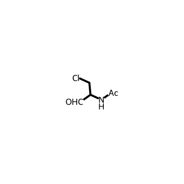 CC(=O)NC(C=O)CCl